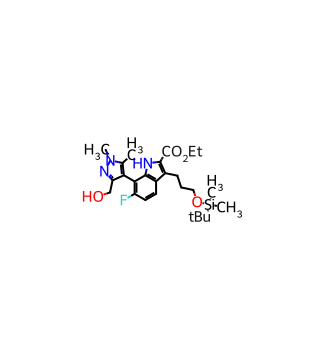 CCOC(=O)c1[nH]c2c(-c3c(CO)nn(C)c3C)c(F)ccc2c1CCCO[Si](C)(C)C(C)(C)C